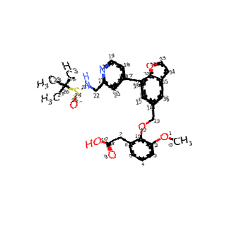 COc1cccc(CC(=O)O)c1OCc1cc(-c2ccnc(CN[S+]([O-])C(C)(C)C)c2)c2occc2c1